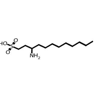 CCCCCCCCCC(N)CCS(=O)(=O)O